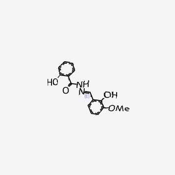 COc1cccc(/C=N/NC(=O)c2ccccc2O)c1O